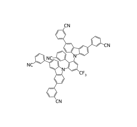 N#Cc1cccc(-c2ccc3c(c2)c2cc(-c4cccc(C#N)c4)ccc2n3-c2cc(C(F)(F)F)cc(-n3c4ccc(-c5cccc(C#N)c5)cc4c4cc(-c5cccc(C#N)c5)ccc43)c2-c2cccc(C#N)c2)c1